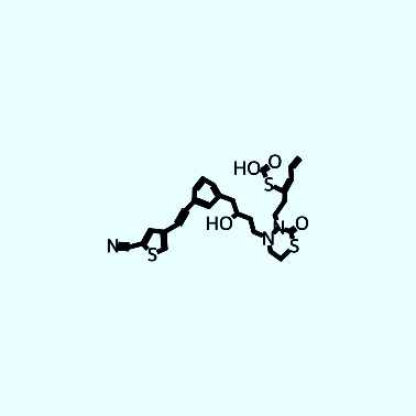 C=C/C=C(/CCN1C(=O)SCCN1CCC(O)Cc1cccc(C#Cc2csc(C#N)c2)c1)SC(=O)O